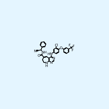 N#CC(NC(=O)C1=Cc2c(ncnc2Nc2ccc(Oc3cccc(C(F)(F)F)c3)c(Cl)c2)NCC1)c1ccccc1